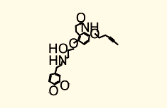 CC#CCCOc1ccc(OCC(O)CNCCc2ccc(OC)c(OC)c2)c2c1NC(=O)CC2